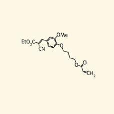 C=CC(=O)OCCCCOc1ccc(/C=C(\C#N)C(=O)OCC)cc1OC